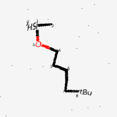 C[SiH](C)O[CH]CCCC(C)(C)C